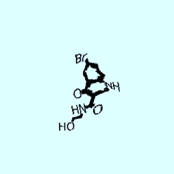 O=C(NCCO)c1c[nH]c2ccc(Br)cc2c1=O